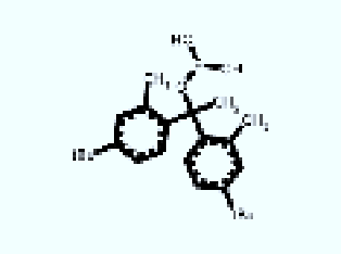 Cc1cc(C(C)(C)C)ccc1C(C)(OP(O)O)c1ccc(C(C)(C)C)cc1C